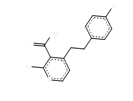 COC(=O)c1c(CCc2ccc(Br)cc2)ccnc1Br